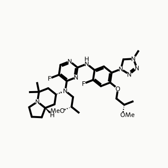 CO[C@@H](C)COc1cc(F)c(Nc2ncc(F)c(N(C[C@H](C)OC)[C@@H]3C[C@@H]4CCCN4C(C)(C)C3)n2)cc1N1CN(C)N=N1